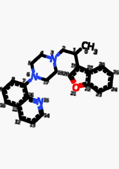 CC(CN1CCN(c2cccc3cccnc23)CC1)c1coc2ccccc12